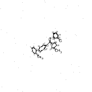 COc1ccccc1-c1ccc(C(=O)N2C[C@@H](C)C[C@H]2c2ccccc2Cl)cc1